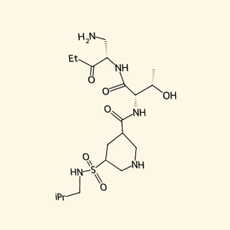 CCC(=O)[C@H](CN)NC(=O)[C@@H](NC(=O)C1CNCC(S(=O)(=O)NCC(C)C)C1)[C@H](C)O